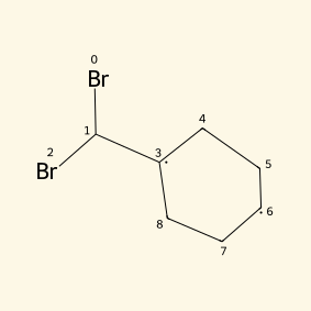 BrC(Br)[C]1CC[CH]CC1